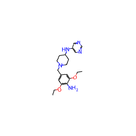 CCOc1cc(CN2CCC(Nc3cncnc3)CC2)cc(OCC)c1N